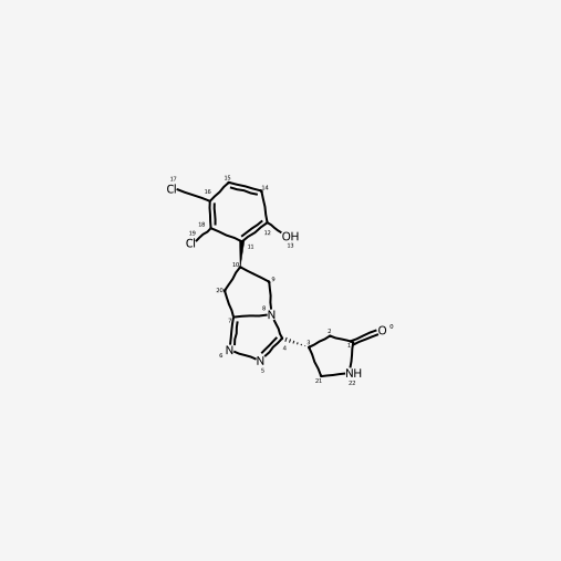 O=C1C[C@@H](c2nnc3n2C[C@H](c2c(O)ccc(Cl)c2Cl)C3)CN1